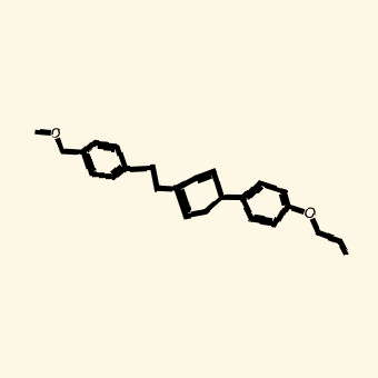 CCCOc1ccc(C2C=CC(CCc3ccc(COC)cc3)=CC2)cc1